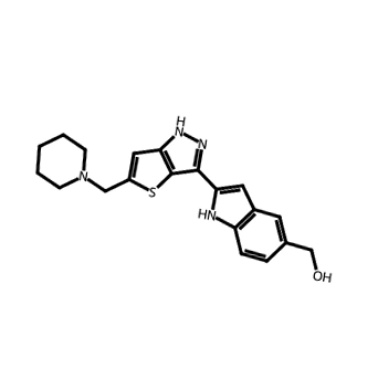 OCc1ccc2[nH]c(-c3n[nH]c4cc(CN5CCCCC5)sc34)cc2c1